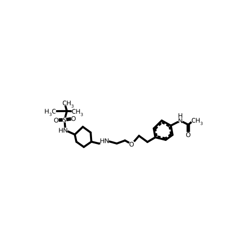 CC(=O)Nc1ccc(CCOCCNCC2CCC(NS(=O)(=O)C(C)(C)C)CC2)cc1